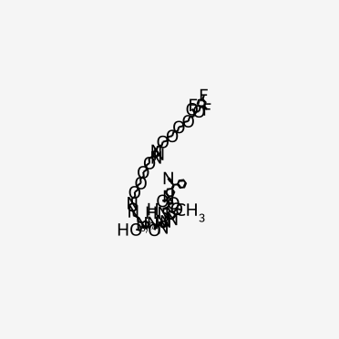 COc1cnc(-n2cnc(C(=O)N[C@H]3C[C@@H](CO)N(CCCN4CCN(CCOCCOCCOCCOCc5cn(CCOCCOCCOCCOCCC(=O)Oc6c(F)cc(F)cc6F)nn5)CC4)C3)n2)c2[nH]cc(C(=O)C(=O)N3CCC(=C(C#N)c4ccccc4)CC3)c12